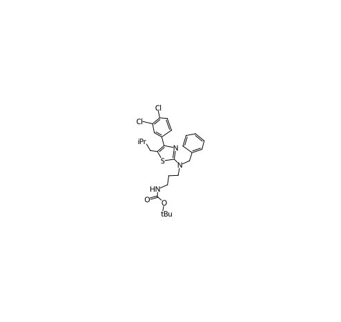 CC(C)Cc1sc(N(CCCNC(=O)OC(C)(C)C)Cc2ccccc2)nc1-c1ccc(Cl)c(Cl)c1